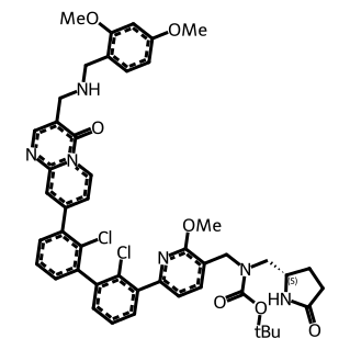 COc1ccc(CNCc2cnc3cc(-c4cccc(-c5cccc(-c6ccc(CN(C[C@@H]7CCC(=O)N7)C(=O)OC(C)(C)C)c(OC)n6)c5Cl)c4Cl)ccn3c2=O)c(OC)c1